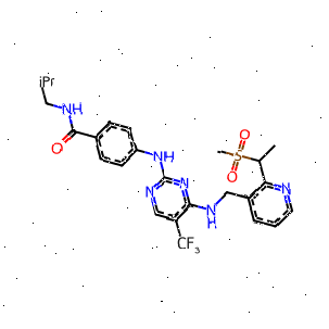 CC(C)CNC(=O)c1ccc(Nc2ncc(C(F)(F)F)c(NCc3cccnc3C(C)S(C)(=O)=O)n2)cc1